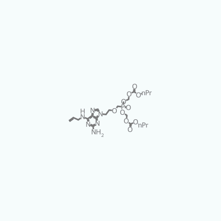 C=CCNc1nc(N)nc2c1ncn2CCOCP(=O)(OCOC(=O)OCCC)OCOC(=O)OCCC